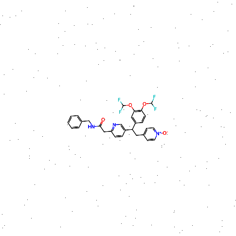 O=C(Cc1ccc(C(Cc2cc[n+]([O-])cc2)c2ccc(OC(F)F)c(OC(F)F)c2)cn1)NCc1ccccc1